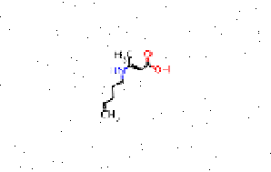 CCCCCNC(C)=CC(=O)O